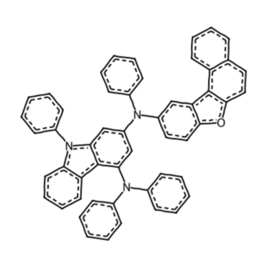 c1ccc(N(c2ccc3oc4ccc5ccccc5c4c3c2)c2cc(N(c3ccccc3)c3ccccc3)c3c4ccccc4n(-c4ccccc4)c3c2)cc1